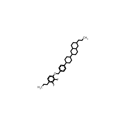 CCCc1ccc(OCc2ccc(C3CCC(C4CCC5CC(CCC)CCC5C4)CC3)cc2)c(F)c1F